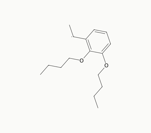 C[CH]c1cccc(OCCCC)c1OCCCC